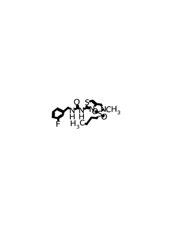 CCCCS(=O)(=O)N(C)Cc1csc(NC(=O)NCc2cccc(F)c2)n1